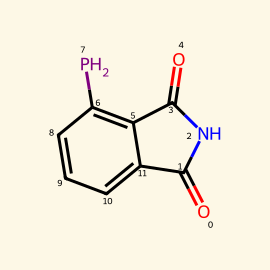 O=C1NC(=O)c2c(P)cccc21